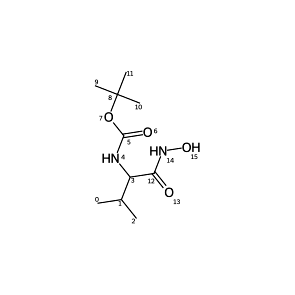 CC(C)C(NC(=O)OC(C)(C)C)C(=O)NO